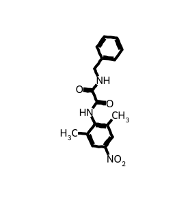 Cc1cc([N+](=O)[O-])cc(C)c1NC(=O)C(=O)NCc1ccccc1